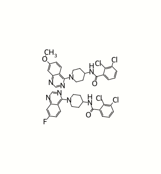 COc1ccc2c(N3CCC(NC(=O)c4cccc(Cl)c4Cl)CC3)ncnc2c1.O=C(NC1CCN(c2ncnc3cc(F)ccc23)CC1)c1cccc(Cl)c1Cl